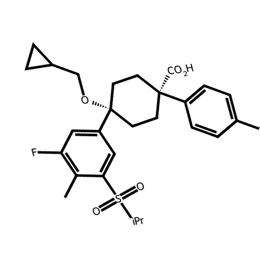 Cc1c(F)cc([C@]2(OCC3CC3)CC[C@](C(=O)O)(c3ccc(F)cc3)CC2)cc1S(=O)(=O)C(C)C